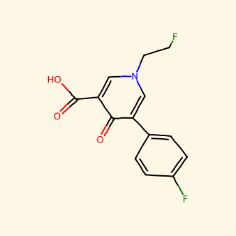 O=C(O)c1cn(CCF)cc(-c2ccc(F)cc2)c1=O